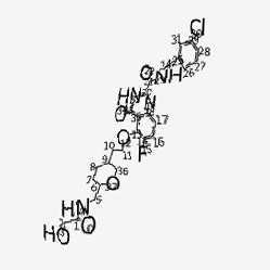 O=C(CO)NCC1CCC(CCOc2c(F)ccc3nc(C(=O)NCc4cccc(Cl)c4)[nH]c(=O)c23)CO1